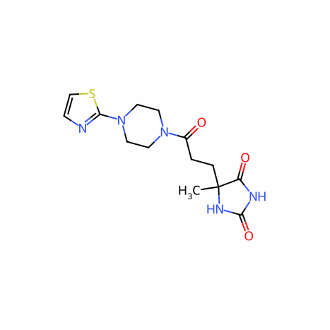 CC1(CCC(=O)N2CCN(c3nccs3)CC2)NC(=O)NC1=O